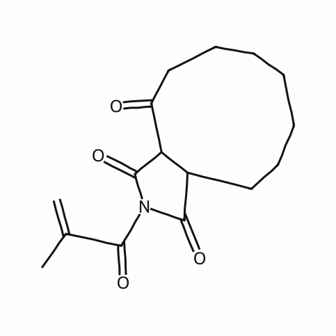 C=C(C)C(=O)N1C(=O)C2CCCCCCCC(=O)C2C1=O